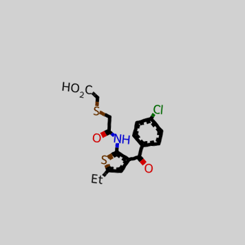 CCc1cc(C(=O)c2ccc(Cl)cc2)c(NC(=O)CSCC(=O)O)s1